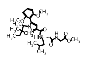 CCC(C)(C)C(C)n1nc(C(=O)N[C@H](CC(=O)NCC(=O)OC)CC(C)C)cc1-c1c(OC)cccc1OC